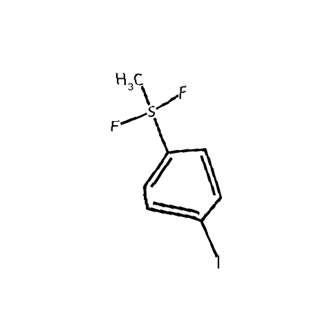 CS(F)(F)c1ccc(I)cc1